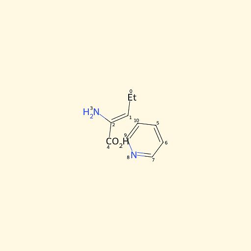 CCC=C(N)C(=O)O.c1ccncc1